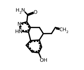 C=CCC1Cc2c(C(N)=O)n[nH]c2-c2ccc(O)cc21